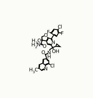 Cc1cnc2c(Cl)cc(C(=O)NCC(O)(c3cc4c(c(-c5cc(F)c(Cl)cc5F)n3)OC[C@]4(C)C(N)=O)C3CC3)cc2c1